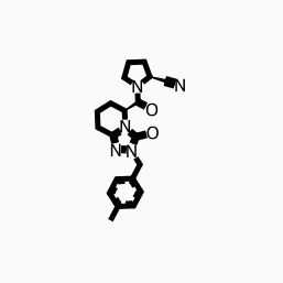 Cc1ccc(Cn2nc3n(c2=O)[C@H](C(=O)N2CCC[C@H]2C#N)CCC3)cc1